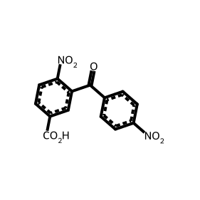 O=C(O)c1ccc([N+](=O)[O-])c(C(=O)c2ccc([N+](=O)[O-])cc2)c1